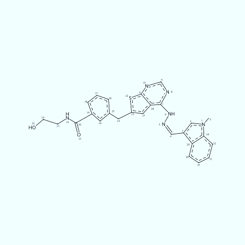 Cn1cc(/C=N\Nc2ncnc3sc(Cc4cccc(C(=O)NCCO)c4)cc23)c2ccccc21